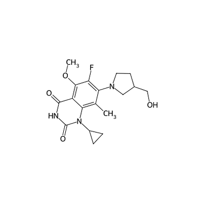 COc1c(F)c(N2CCC(CO)C2)c(C)c2c1c(=O)[nH]c(=O)n2C1CC1